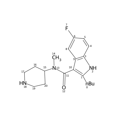 CCCCc1[nH]c2ccc(F)cc2c1C(=O)N(C)C1CCNCC1